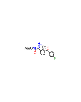 CCc1c(C(=O)c2ccc(F)cc2)cccc1C(N)C(=O)NOC